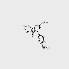 COC(=O)Cc1c(Cc2ccc(S(=O)(=O)O)cc2)c(=O)n2n1CCCC2